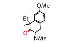 CCC1(C)C(=O)[C@@H](NC)Cc2ccc(OC)cc21